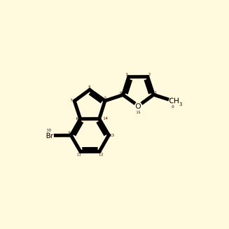 Cc1ccc(C2=CCc3c(Br)cccc32)o1